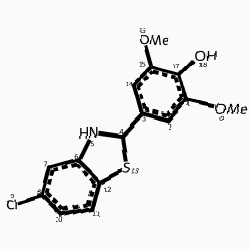 COc1cc(C2Nc3cc(Cl)ccc3S2)cc(OC)c1O